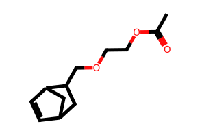 CC(=O)OCCOCC1CC2C=CC1C2